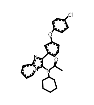 CC(=O)N(c1c(-c2cccc(Oc3ccc(Cl)cc3)c2)nc2ccccn12)C1CCCCC1